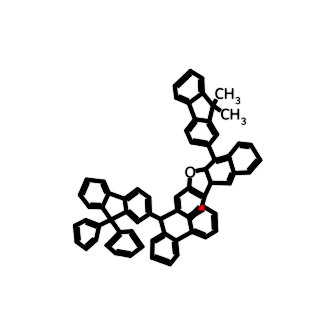 CC1(C)c2ccccc2-c2ccc(C3=c4ccccc4=CC4c5ccc(C(c6ccc7c(c6)C(c6ccccc6)(c6ccccc6)c6ccccc6-7)c6ccccc6-c6ccccc6)cc5OC34)cc21